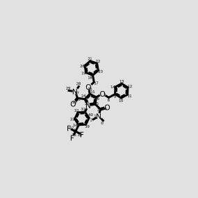 CN(C)C(=O)c1c(OCc2ccccc2)c(OCc2ccccc2)c(C(=O)N(C)C)n1-c1ccc(C(F)(F)F)cc1